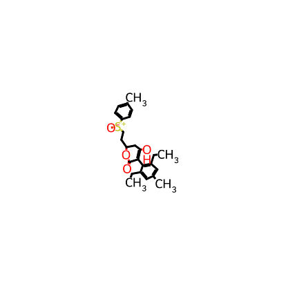 CCc1cc(C)cc(CC)c1C1=C(O)CC(CC[S+]([O-])c2ccc(C)cc2)OC1=O